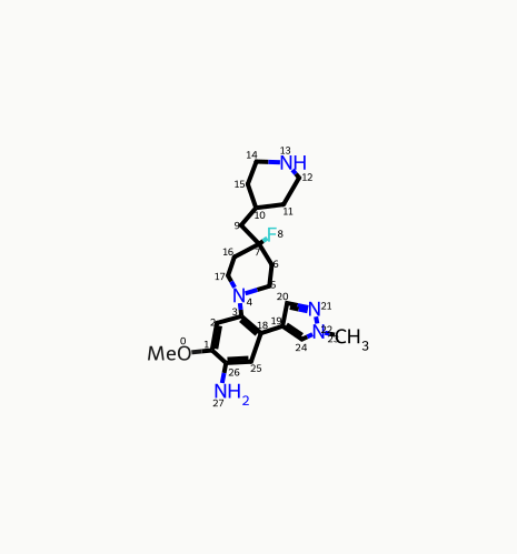 COc1cc(N2CCC(F)(CC3CCNCC3)CC2)c(-c2cnn(C)c2)cc1N